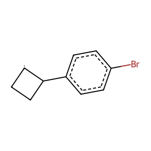 Brc1ccc(C2[CH]CC2)cc1